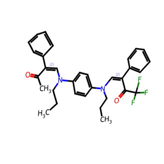 CCCN(/C=C(\C(C)=O)c1ccccc1)c1ccc(N(/C=C(\C(=O)C(F)(F)F)c2ccccc2)CCC)cc1